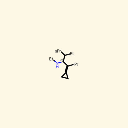 CCCC(CC)[C@H](NCC)C(=C1CC1)C(C)C